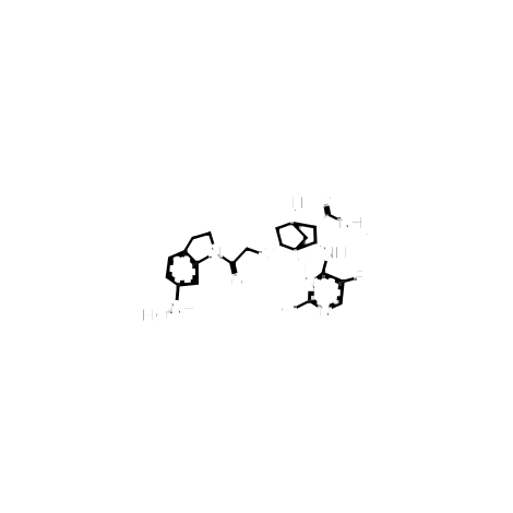 NC(=O)[C@H]1[C@H]2C[C@@H]([C@H]1Nc1nc(Cl)ncc1F)[C@H](SCC(=O)N1CCc3ccc(NO)cc31)C2